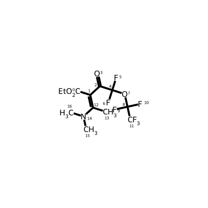 CCOC(=O)/C(C(=O)C(F)(F)OC(F)(F)C(F)(F)F)=C(/C)N(C)C